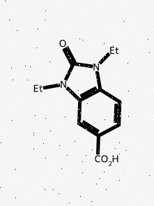 CCn1c(=O)n(CC)c2cc(C(=O)O)ccc21